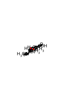 CSC1CCN(CCNC23CCCC2C2(N)CCC4C5(C)CC=C(C6=CCC(C(=O)O)CC6)C(C)C5CCC4(C)C2CC3)CC1